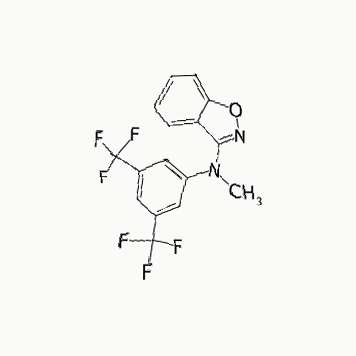 CN(c1cc(C(F)(F)F)cc(C(F)(F)F)c1)c1noc2ccccc12